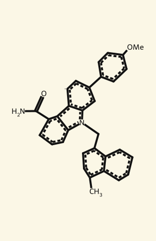 COc1ccc(-c2c[c]c3c4c(C(N)=O)cccc4n(Cc4ccc(C)c5ccccc45)c3c2)cc1